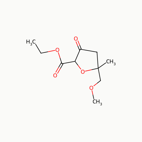 CCOC(=O)C1OC(C)(COC)CC1=O